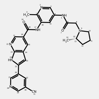 Cc1ncc(NC(=O)CN2CCC[C@@H]2C)cc1NC(=O)c1cnc2[nH]c(-c3cncc(C#N)c3)cc2c1